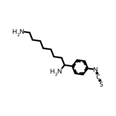 NCCCCCCCC(N)c1ccc(N=C=S)cc1